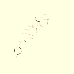 CC1=C2N(C)C(=O)CC[C@]2(C)[C@H]2CC[C@]3(C)[C@@H](C(=O)Nc4ccc(C#N)cc4)CC[C@H]3[C@@H]2C1